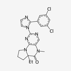 CCC12CCCN1c1nc(-n3ccnc3-c3cc(Cl)cc(Cl)c3)ncc1N(C)C2=O